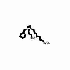 CCCCCCCCCCCCCCCCCN1C=CN(Cc2ccccc2)C1CCCCCCCCCCCC